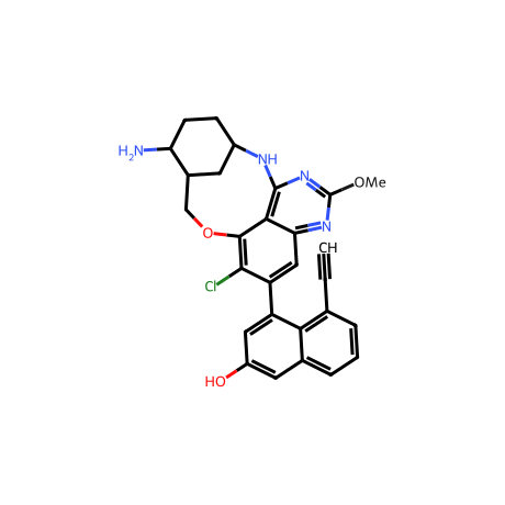 C#Cc1cccc2cc(O)cc(-c3cc4nc(OC)nc5c4c(c3Cl)OCC3CC(CCC3N)N5)c12